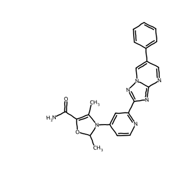 CC1=C(C(N)=O)OC(C)N1c1ccnc(-c2nc3ncc(-c4ccccc4)cn3n2)c1